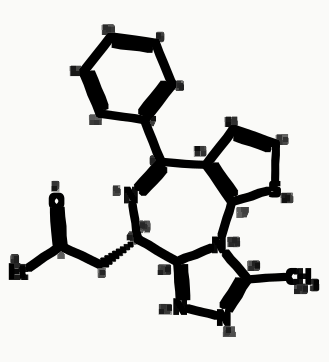 CCC(=O)C[C@@H]1N=C(c2ccccc2)c2ccsc2-n2c(C)nnc21